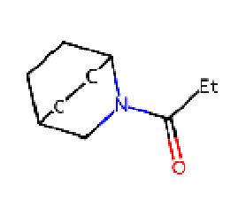 CCC(=O)N1CC2CCC1CC2